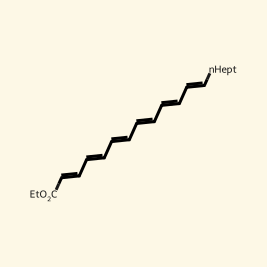 CCCCCCCC=CC=CC=CC=CC=CC=CC(=O)OCC